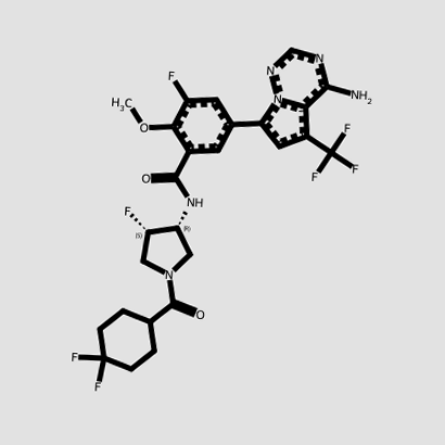 COc1c(F)cc(-c2cc(C(F)(F)F)c3c(N)ncnn23)cc1C(=O)N[C@@H]1CN(C(=O)C2CCC(F)(F)CC2)C[C@@H]1F